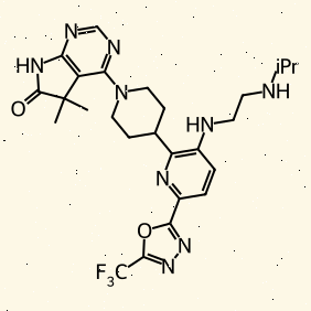 CC(C)NCCNc1ccc(-c2nnc(C(F)(F)F)o2)nc1C1CCN(c2ncnc3c2C(C)(C)C(=O)N3)CC1